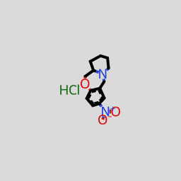 Cl.O=[N+]([O-])c1ccc2c(c1)CN1CCCCC1CO2